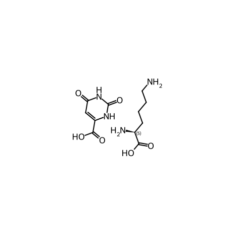 NCCCC[C@H](N)C(=O)O.O=C(O)c1cc(=O)[nH]c(=O)[nH]1